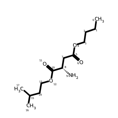 CCCCOC(=O)C[C@H](N)C(=O)OCCC(C)C